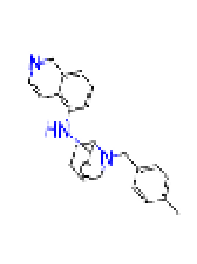 Cc1ccc(CN2CC3CCC2C(Nc2cccc4cnccc24)C3)cc1